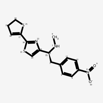 CN[C@@H](Cc1ccc([N+](=O)[O-])cc1)c1csc(C2=CCCS2)n1